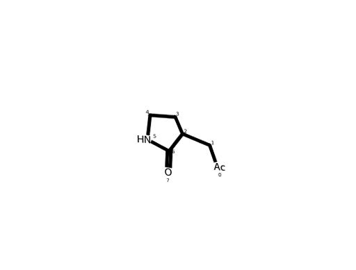 CC(=O)CC1CCNC1=O